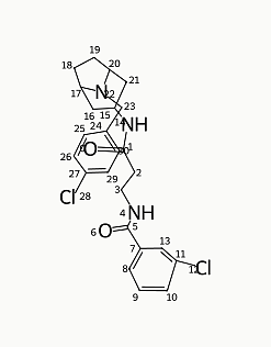 O=C(CCNC(=O)c1cccc(Cl)c1)NC1CC2CCC(C1)N2Cc1ccc(Cl)cc1